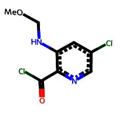 COCNc1cc(Cl)cnc1C(=O)Cl